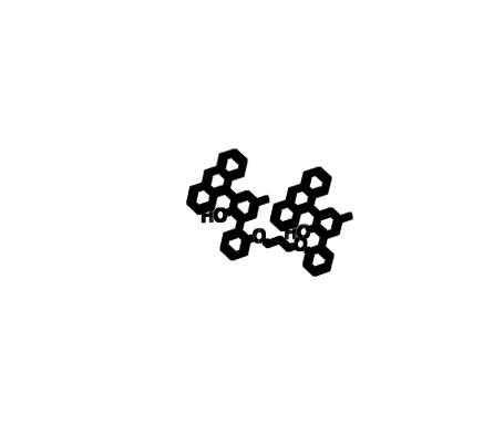 Cc1cc(-c2ccccc2OCCCOc2ccccc2-c2cc(C)cc(-c3c4ccccc4cc4ccccc34)c2O)c(O)c(-c2c3ccccc3cc3ccccc23)c1